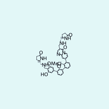 COc1cc(-c2cccc(-c3cccc(-c4ccn5c(=O)c(CNC[C@@H]6CCC(=O)N6)cnc5c4)c3Cl)c2Cl)cc(O)c1CNC[C@@H]1CCC(=O)N1